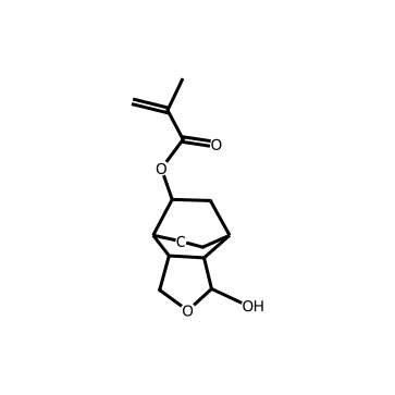 C=C(C)C(=O)OC1CC2CCC1C1COC(O)C21